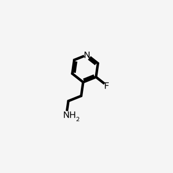 NCCc1ccncc1F